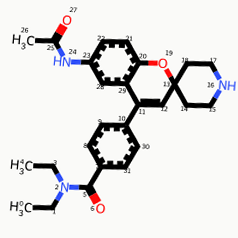 CCN(CC)C(=O)c1ccc(C2=CC3(CCNCC3)Oc3ccc(NC(C)=O)cc32)cc1